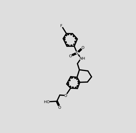 O=C(O)COc1ccc2c(c1)CCCC2CNS(=O)(=O)c1ccc(F)cc1